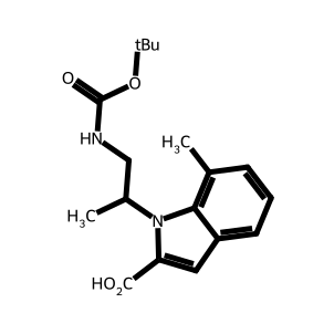 Cc1cccc2cc(C(=O)O)n(C(C)CNC(=O)OC(C)(C)C)c12